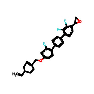 C=CC1CC=C(COc2ccc(-c3ccc(-c4ccc(C5CO5)c(F)c4F)cc3)c(F)c2)CC1